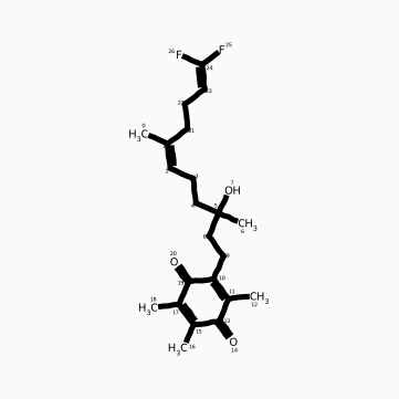 CC(=CCCC(C)(O)CCC1=C(C)C(=O)C(C)=C(C)C1=O)CCC=C(F)F